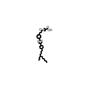 CCCCCCC(CCC)CCCCC1CC=C(c2cnc(C3=CCC=C(CCC(=O)N4CC(C(=O)O)C4)C=C3)nc2)CC1